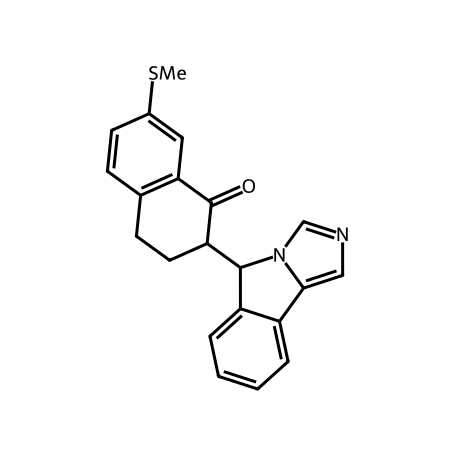 CSc1ccc2c(c1)C(=O)C(C1c3ccccc3-c3cncn31)CC2